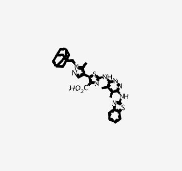 Cc1c(Nc2nc(C(=O)O)c(-c3cnn(CC45CC6CC(CC(C6)C4)C5)c3C)s2)nnc(Nc2nc3ccccc3s2)c1C